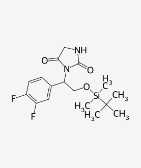 CC(C)(C)[Si](C)(C)OCC(c1ccc(F)c(F)c1)N1C(=O)CNC1=O